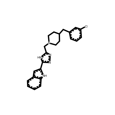 Clc1cccc(CC2CCN(Cc3nnc(-c4cc5ccccc5[nH]4)[nH]3)CC2)c1